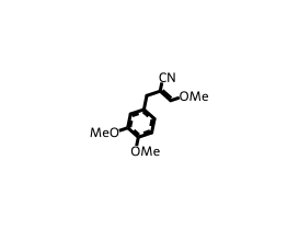 COC=C(C#N)Cc1ccc(OC)c(OC)c1